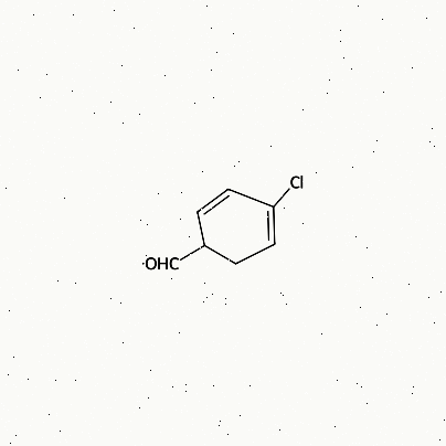 O=[C]C1C=CC(Cl)=CC1